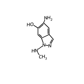 CNn1ncc2cc(N)c(O)cc21